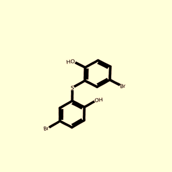 Oc1ccc(Br)cc1Sc1cc(Br)ccc1O